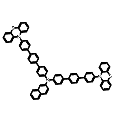 c1ccc2c(c1)Sc1ccccc1N2c1ccc(-c2ccc(-c3ccc(N(c4ccc(-c5ccc(-c6ccc(N7c8ccccc8Sc8ccccc87)cc6)cc5)cc4)c4ccc5ccccc5c4)cc3)cc2)cc1